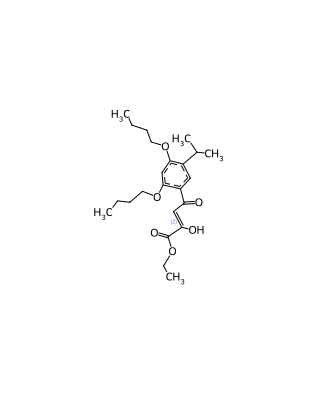 CCCCOc1cc(OCCCC)c(C(C)C)cc1C(=O)/C=C(\O)C(=O)OCC